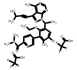 CCOc1c(C(C)n2nc(C#CC(C)O)c3c(N)ncnc32)cc(Cl)c(C)c1-c1ccc(C(=O)N(C)C)nc1.O=C(O)C(F)(F)F.O=C(O)C(F)(F)F